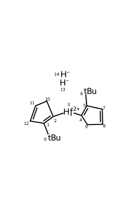 CC(C)(C)C1=[C]([Hf+2][C]2=C(C(C)(C)C)C=CC2)CC=C1.[H-].[H-]